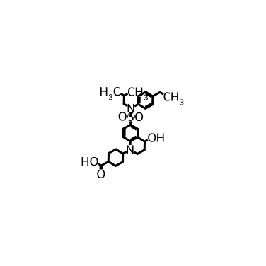 CCc1ccc(N(CC(C)C)S(=O)(=O)c2ccc3c(c2)C(O)CCN3C2CCC(C(=O)O)CC2)cc1